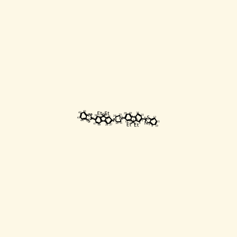 CCC1(CC)c2cc(-c3nc4ccccc4s3)ccc2-c2ccc(N3CCN(c4ccc5c(c4)C(CC)(CC)c4cc(-c6nc7ccccc7s6)ccc4-5)CC3)cc21